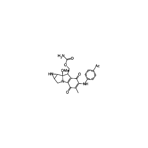 COC12C(COC(N)=O)C3=C(C(=O)C(C)=C(Nc4ccc(C(C)=O)cc4)C3=O)N1CC1NC12